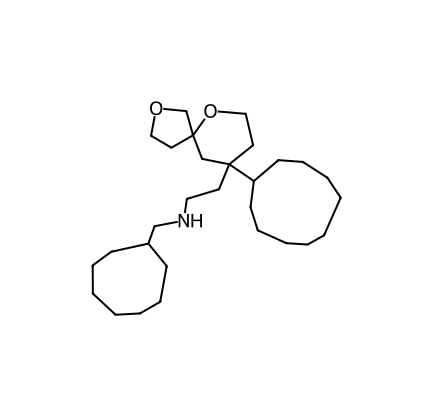 C1CCCCC(C2(CCNCC3CCCCCCC3)CCOC3(CCOC3)C2)CCCC1